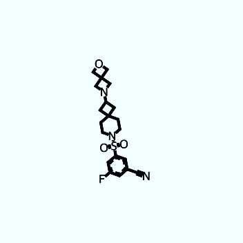 N#Cc1cc(F)cc(S(=O)(=O)N2CCC3(CC2)CC(N2CC4(COC4)C2)C3)c1